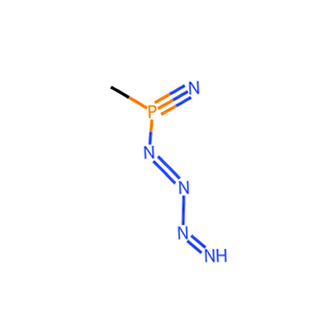 CP(#N)N=NN=N